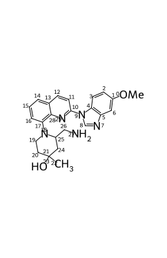 COc1ccc2c(c1)ncn2-c1ccc2cccc(N3CCC(C)(O)CC3CN)c2n1